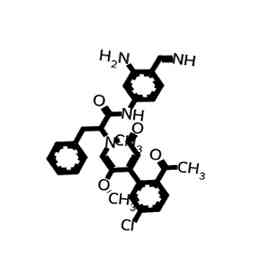 COC(=C/N(C)C(Cc1ccccc1)C(=O)Nc1ccc(C=N)c(N)c1)/C(=C\C=O)c1cc(Cl)ccc1C(C)=O